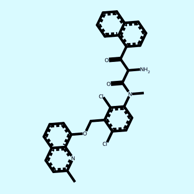 Cc1ccc2cccc(OCc3c(Cl)ccc(N(C)C(=O)C(N)C(=O)c4cccc5ccccc45)c3Cl)c2n1